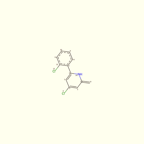 C=C1C=C(Cl)C=C(c2ccccc2Cl)N1